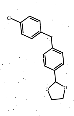 Clc1ccc([CH]c2ccc(C3OCCO3)cc2)cc1